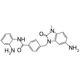 Cn1c(=O)n(Cc2ccc(C(=O)Nc3ccccc3N)cc2)c2cc(N)ccc21